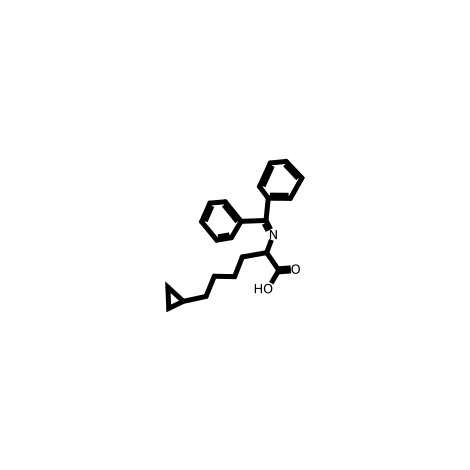 O=C(O)C(CCCCC1CC1)N=C(c1ccccc1)c1ccccc1